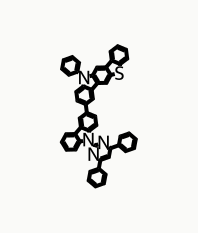 c1ccc(-c2cc(-c3ccccc3)nc(-n3c4ccccc4c4cc(-c5ccc6c(c5)c5cc7sc8ccccc8c7cc5n6-c5ccccc5)ccc43)n2)cc1